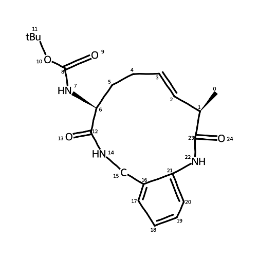 C[C@@H]1/C=C/CC[C@H](NC(=O)OC(C)(C)C)C(=O)NCc2ccccc2NC1=O